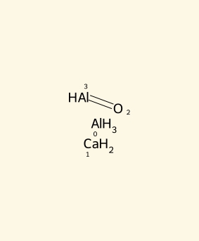 [AlH3].[CaH2].[O]=[AlH]